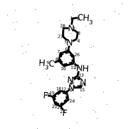 CCN1CCN(c2cc(C)cc(Nc3ncn(-c4cc(F)cc(F)c4)n3)c2)CC1